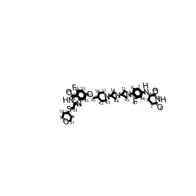 O=C1CCC(Nc2ccc(N3CC(N4CC(N5CCC(COc6cc(F)c7c(=O)[nH]c(CSC8CCOCC8)nc7c6)CC5)C4)C3)c(F)c2)C(=O)N1